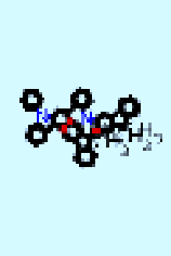 CC1(C)c2ccccc2-c2cc(N(c3ccccc3-c3ccc4c5ccccc5n(-c5ccccc5)c4c3)c3cccc4c3C(C)(C)c3ccccc3-4)ccc21